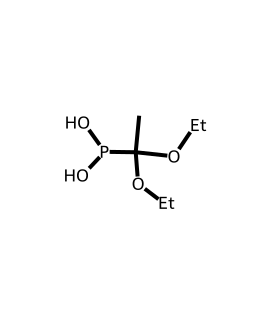 CCOC(C)(OCC)P(O)O